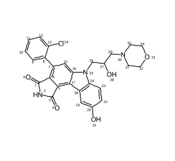 O=C1NC(=O)c2c1c(-c1ccccc1Cl)cc1c2c2cc(O)ccc2n1CC(O)CN1CCOCC1